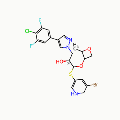 CC1OCC1OC(SC1=CNCC(Br)=C1)[C@@H](O)Cn1cc(-c2cc(F)c(Cl)c(F)c2)cn1